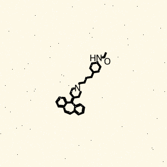 CC(=O)NC1CCC(CCCCN2CCC(=C3c4ccccc4C=Cc4ccccc43)CC2)CC1